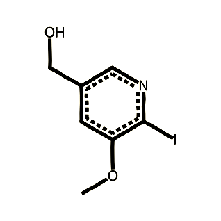 COc1cc(CO)cnc1I